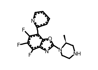 C[C@H]1CNCCN1c1nc2c(F)c(F)c(F)c(-c3ccccn3)c2o1